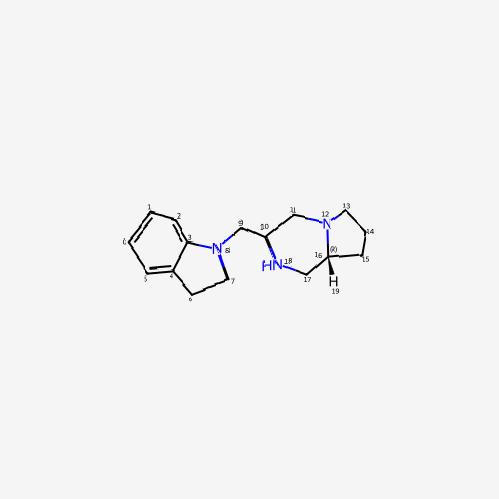 c1ccc2c(c1)CCN2CC1CN2CCC[C@@H]2CN1